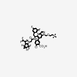 C[Si](C)(C)CCOCn1ncc2nc(C(Cc3cc(F)cc(F)c3)NC(=O)Cn3nc(C(F)F)c4c3C(F)(F)[C@@H]3C[C@H]43)c(-c3ccc(Cl)c(C(=O)O)c3)cc21